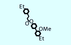 CCc1ccc(CCC(=O)Oc2ccc(-c3ccc(CC)cc3OC)cc2)cc1